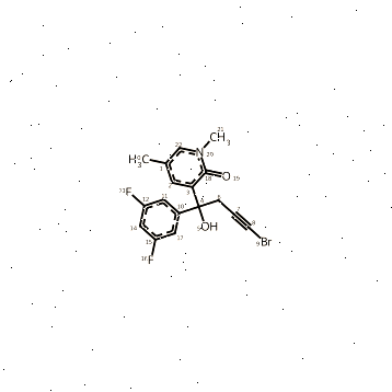 Cc1cc(C(O)(CC#CBr)c2cc(F)cc(F)c2)c(=O)n(C)c1